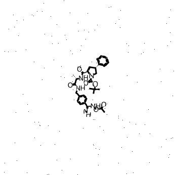 [H]/N=C(\NOC(C)=O)c1ccc(CNC(=O)[C@H](C)NC(=O)[C@H]2C[C@H](c3ccccc3)CN2C(=O)OC(C)(C)C)cc1